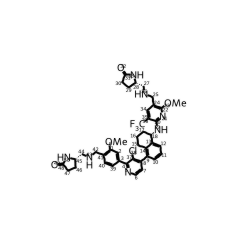 COc1cc(-c2nccc(-c3cccc4c3CCC[C@@H]4Nc3nc(OC)c(CNC[C@@H]4CCC(=O)N4)cc3C(F)(F)F)c2Cl)ccc1CNC[C@@H]1CCC(=O)N1